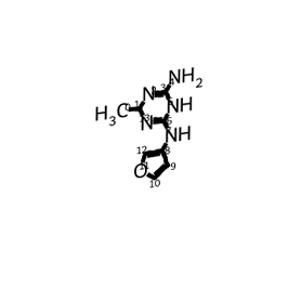 CC1N=C(N)NC(Nc2ccoc2)=N1